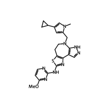 COc1ccnc(Nc2nc3c(s2)CCN(Cc2cc(C4CC4)cn2C)c2[nH]ncc2-3)n1